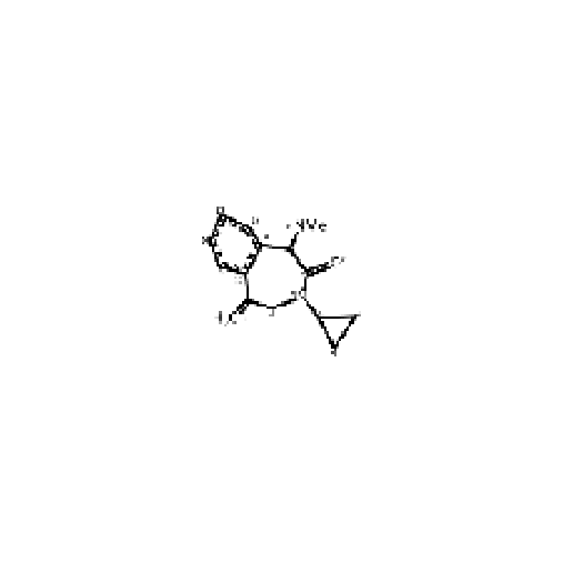 C=C1CN(C2CC2)C(=O)C(NC)c2ccccc21